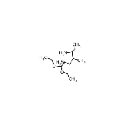 CCOC(OCC)[SiH2]CC(C)C(N)CC